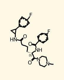 CN1CCN(C(=O)[C@H](CCCC(=O)NC2CC2c2ccc(F)cc2)NC(=O)c2ccc(F)cc2)CC1